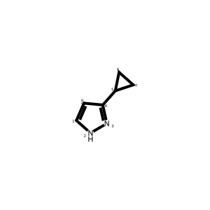 [c]1c[nH]nc1C1CC1